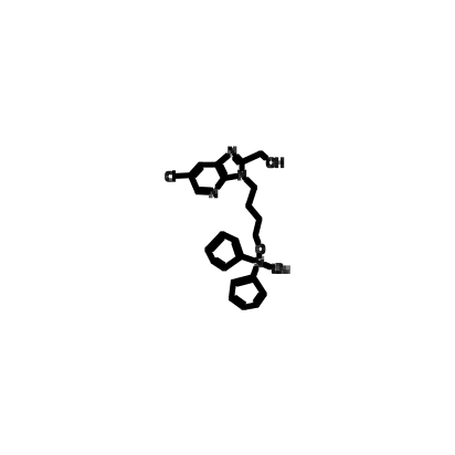 CC(C)(C)[Si](OCCCCn1c(CO)nc2cc(Cl)cnc21)(c1ccccc1)c1ccccc1